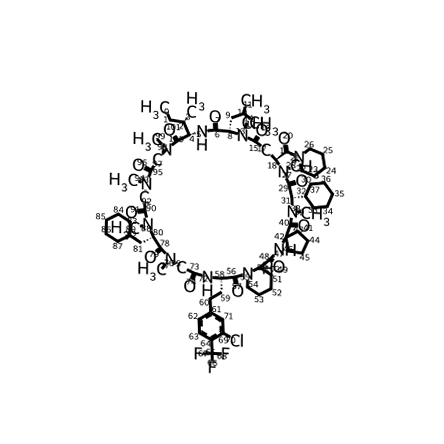 CC[C@H](C)[C@@H]1NC(=O)[C@H](CC(C)C)N(C)C(=O)C[C@@H](C(=O)N2CCCCC2)N(C)C(=O)[C@H](C2CCCCC2)N(C)C(=O)C2(CCCC2)NC(=O)[C@@H]2CCCCN2C(=O)[C@H](CCc2ccc(C(F)(F)F)c(Cl)c2)NC(=O)CN(C)C(=O)[C@H](CC2CCCCC2)N(C)C(=O)CN(C)C(=O)CN(C)C1=O